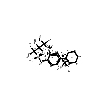 O=S(=O)(CNS(=O)(=O)C(F)(F)C(F)(F)C(F)(F)S(=O)(=O)Oc1ccc(C2CCCCC2)cc1)C(F)(F)F